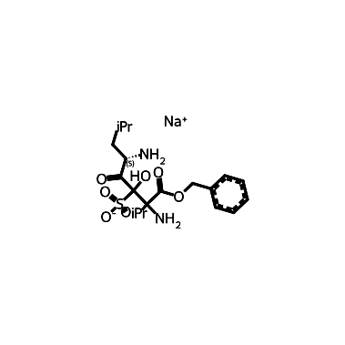 CC(C)C[C@H](N)C(=O)C(O)(C(N)(C(=O)OCc1ccccc1)C(C)C)S(=O)(=O)[O-].[Na+]